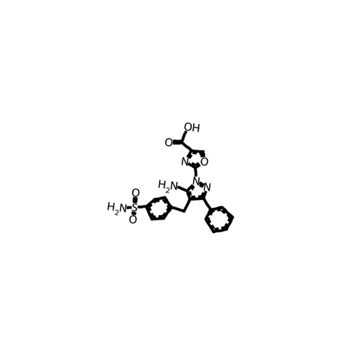 Nc1c(Cc2ccc(S(N)(=O)=O)cc2)c(-c2ccccc2)nn1-c1nc(C(=O)O)co1